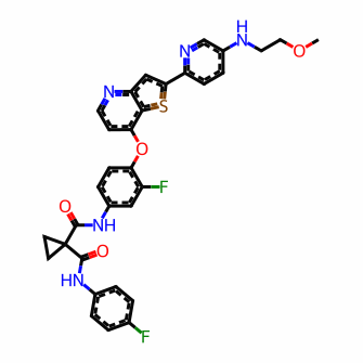 COCCNc1ccc(-c2cc3nccc(Oc4ccc(NC(=O)C5(C(=O)Nc6ccc(F)cc6)CC5)cc4F)c3s2)nc1